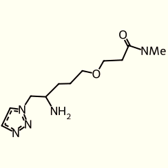 CNC(=O)CCOCCCC(N)Cn1ccnn1